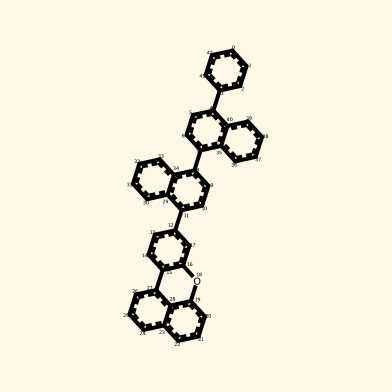 c1ccc(-c2ccc(-c3ccc(-c4ccc5c(c4)Oc4cccc6cccc-5c46)c4ccccc34)c3ccccc23)cc1